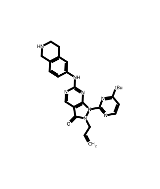 C=CCn1c(=O)c2cnc(Nc3ccc4c(c3)CCNC4)nc2n1-c1nccc(C(C)(C)C)n1